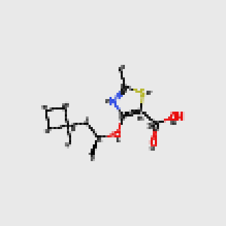 Cc1nc(O[C@@H](C)CC2(C)CCC2)c(C(=O)O)s1